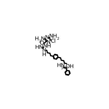 CC(CCCc1ccc(CCCCNC(=N)NC(=O)c2nc(Cl)c(N)nc2N)cc1)N[C@@H](C)[C@H](O)c1ccccc1